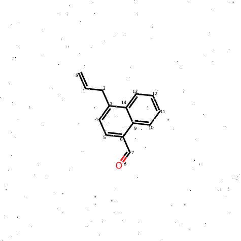 C=CCc1ccc(C=O)c2ccccc12